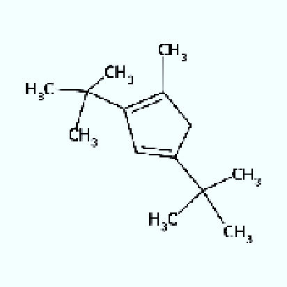 CC1=C(C(C)(C)C)C=C(C(C)(C)C)C1